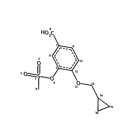 CS(=O)(=O)Oc1cc(C(=O)O)ccc1OCC1CC1